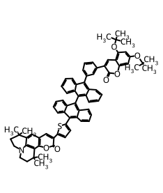 CC(C)(C)Oc1cc(OC(C)(C)C)c2cc(-c3cccc(-c4c5ccccc5c(-c5c6ccccc6c(-c6ccc(-c7cc8cc9c%10c(c8oc7=O)C(C)(C)CCN%10CCC9(C)C)s6)c6ccccc56)c5ccccc45)c3)c(=O)oc2c1